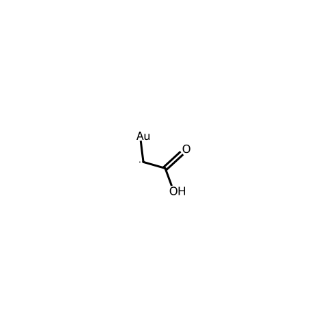 O=C(O)[CH][Au]